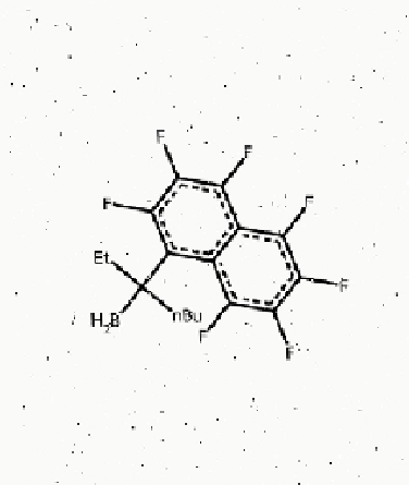 BC(CC)(CCCC)c1c(F)c(F)c(F)c2c(F)c(F)c(F)c(F)c12